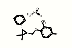 CC1(C)[C@H](COc2ccc(F)cc2C(F)(F)F)[C@H]1c1ccccc1.N[SH](=O)=O